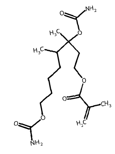 C=C(C)C(=O)OCCC(C)(OC(N)=O)C(C)CCCCOC(N)=O